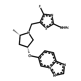 CC(=O)Nc1nc(F)c(CN2C[C@H](Oc3ccc4ncnn4c3)C[C@@H]2C)s1